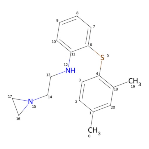 Cc1ccc(Sc2ccccc2NCCN2CC2)c(C)c1